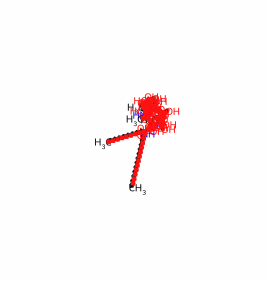 CCCCCCCCCCCCC/C=C/[C@@H](O)[C@H](CO[C@@H]1OC(CO)[C@@H](O[C@@H]2OC(CO)[C@H](O)[C@H](O[C@@H]3OC(CO)[C@@H](O[C@@H]4OC(CO)[C@H](O[C@@H]5OC(CO)[C@H](O)[C@H](O)C5NC(C)=O)[C@H](O[C@]5(C(=O)O)CC(O)[C@@H](NC(C)=O)C([C@H](O)[C@H](O)CO)O5)C4O)[C@H](O)C3NC(C)=O)C2O)[C@H](O)C1O)NC(=O)CCCCCCCCCCCCCCCCCCCCCCC